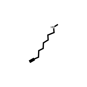 C#CCCCCCCCNC